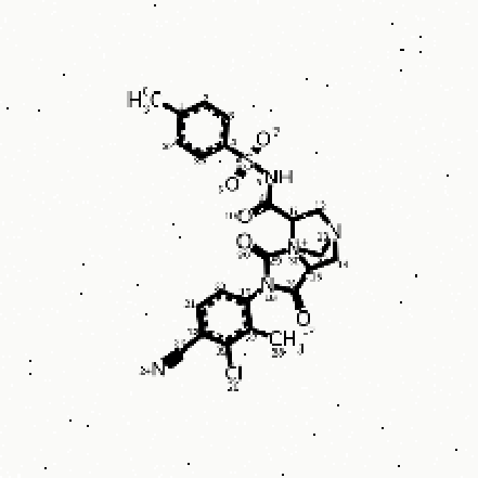 Cc1ccc(S(=O)(=O)NC(=O)C2CN3CC4C(=O)N(c5ccc(C#N)c(Cl)c5C)C(=O)[N+]24C3)cc1